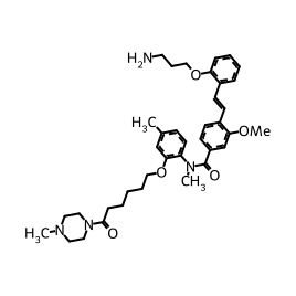 COc1cc(C(=O)N(C)c2ccc(C)cc2OCCCCCC(=O)N2CCN(C)CC2)ccc1C=Cc1ccccc1OCCCN